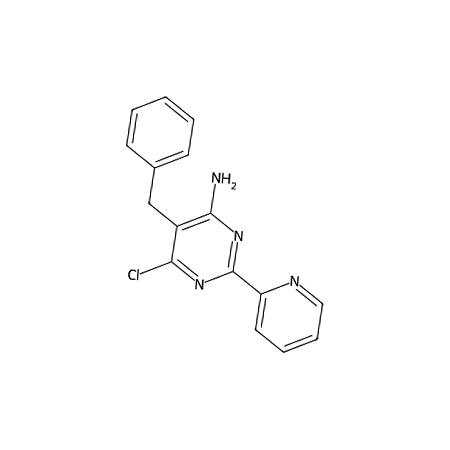 Nc1nc(-c2ccccn2)nc(Cl)c1Cc1ccccc1